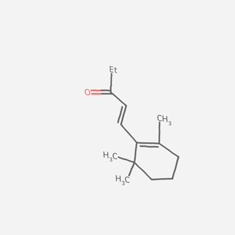 CCC(=O)C=CC1=C(C)CCCC1(C)C